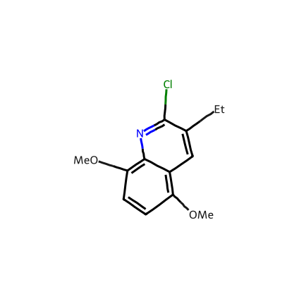 CCc1cc2c(OC)ccc(OC)c2nc1Cl